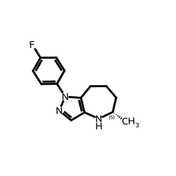 C[C@H]1CCCc2c(cnn2-c2ccc(F)cc2)N1